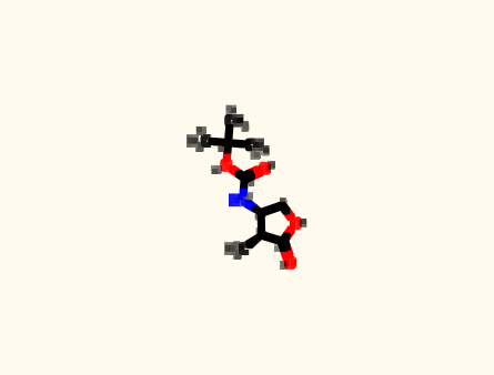 C[C@@H]1C(=O)OC[C@@H]1NC(=O)OC(C)(C)C